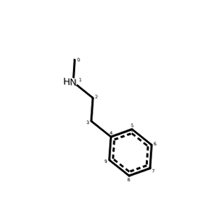 CNCCc1[c]cccc1